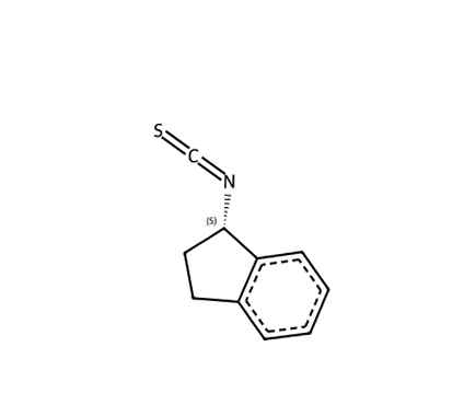 S=C=N[C@H]1CCc2ccccc21